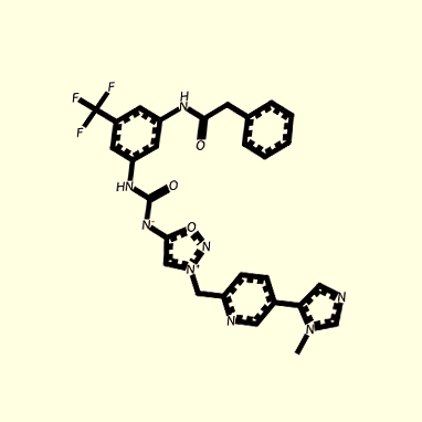 Cn1cncc1-c1ccc(C[n+]2cc([N-]C(=O)Nc3cc(NC(=O)Cc4ccccc4)cc(C(F)(F)F)c3)on2)nc1